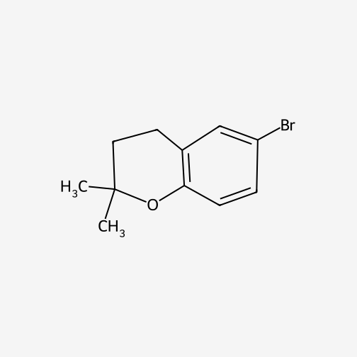 CC1(C)CCc2cc(Br)ccc2O1